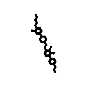 CCCCCc1ccc(C2CCC(OCc3ccc(-c4ccc(CCC)cc4)c(F)c3F)CC2)cc1F